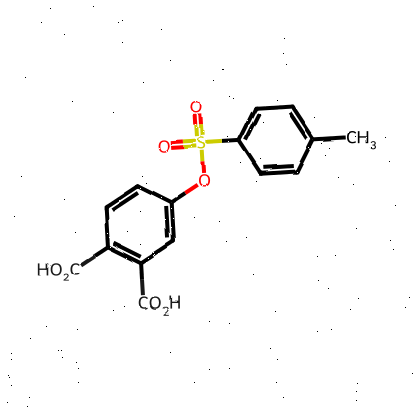 Cc1ccc(S(=O)(=O)Oc2ccc(C(=O)O)c(C(=O)O)c2)cc1